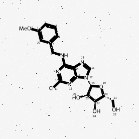 COc1cccc(CNc2nc(Cl)nc3c2ncn3[C@@H]2O[C@H](CO)[C@@H](O)[C@H]2O)c1